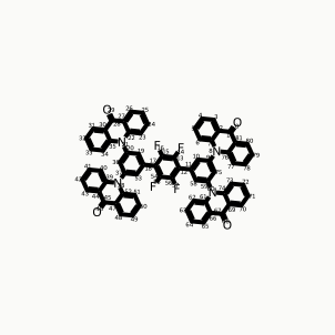 O=c1c2ccccc2n(-c2cc(-c3c(F)c(F)c(-c4cc(-n5c6ccccc6c(=O)c6ccccc65)cc(-n5c6ccccc6c(=O)c6ccccc65)c4)c(F)c3F)cc(-n3c4ccccc4c(=O)c4ccccc43)c2)c2ccccc12